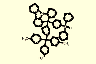 Cc1ccc(C(c2ccc(C)cc2)(c2ccc(C)cc2)c2ccc(C3(c4ccc(P(=O)(c5ccccc5)c5ccccc5)cc4)c4ccccc4-n4c5ccccc5c5cccc3c54)cc2)cc1